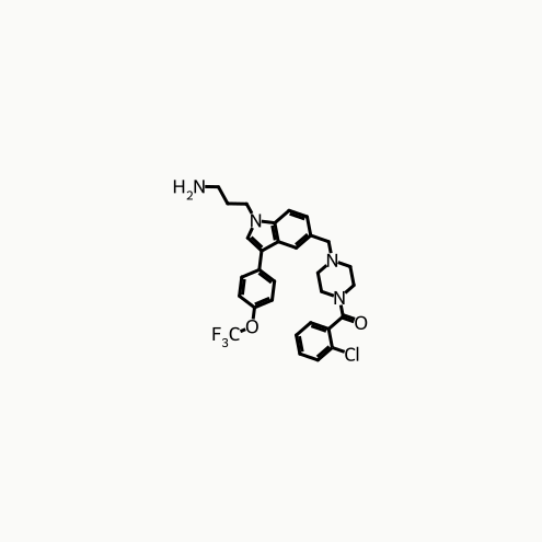 NCCCn1cc(-c2ccc(OC(F)(F)F)cc2)c2cc(CN3CCN(C(=O)c4ccccc4Cl)CC3)ccc21